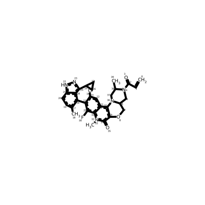 C=CC(=O)N1CC2COc3c(c4cc(Cl)c(-c5c(C)ccc6[nH]nc(C7CC7)c56)c(F)c4n(C)c3=O)N2CC1C